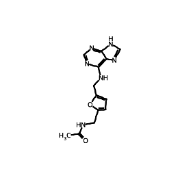 CC(=O)NCc1ccc(CNc2ncnc3[nH]cnc23)o1